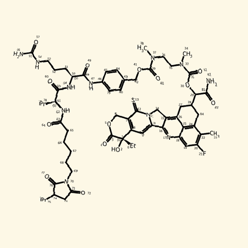 CC[C@@]1(O)C(=O)OCc2c1cc1n(c2=S)Cc2c-1nc1cc(F)c(C)c3c1c2CC(C(OC(=O)N(C)CCN(C)C(=O)OCc1ccc(NC(=O)[C@H](CCCNC(N)=O)NC(=O)[C@@H](NC(=O)CCCCCN2C(=O)CC(C(C)C)C2=O)C(C)C)cc1)C(N)=O)C3